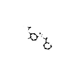 CC(=O)Nc1cc([As](=O)(O)OC(=O)c2ccccn2)ccc1O